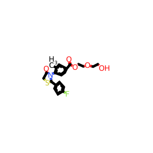 Cc1cc(C(=O)OCCOCCO)ccc1N1C(=O)CSC1c1ccc(F)cc1